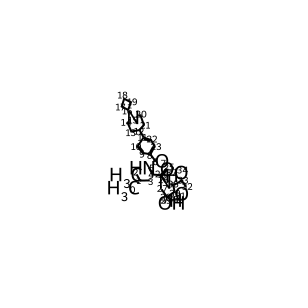 CC(C)C[C@H](NC(=O)c1ccc(C2CCN(C3CCC3)CC2)cc1)C(=O)N1C[C@H](O)[C@H]2OCC(=O)[C@H]21